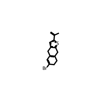 C=C(C)c1cc2c(s1)CC1=C(C=C(Br)CC1)C2